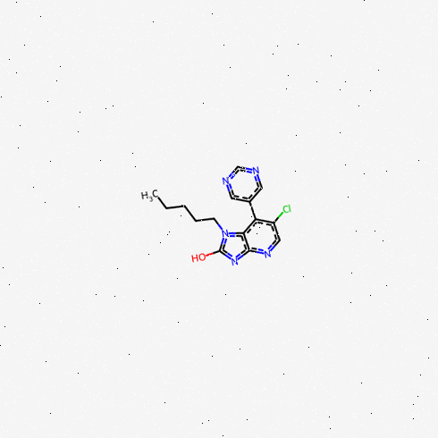 CCCCCn1c(O)nc2ncc(Cl)c(-c3cncnc3)c21